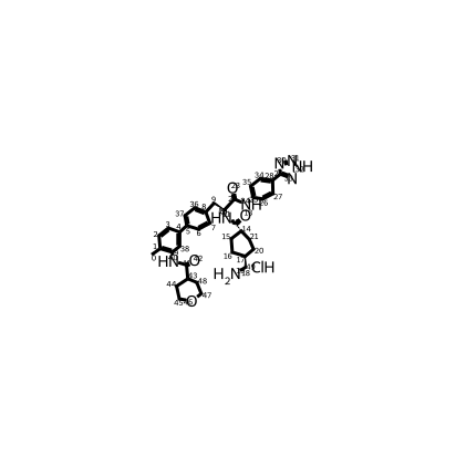 Cc1ccc(-c2ccc(C[C@H](NC(=O)[C@H]3CC[C@H](CN)CC3)C(=O)Nc3ccc(-c4nn[nH]n4)cc3)cc2)cc1NC(=O)C1CCOCC1.Cl